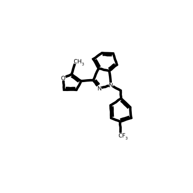 Cc1occc1-c1nn(Cc2ccc(C(F)(F)F)cc2)c2ccccc12